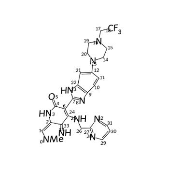 CN/C=C1/NC(=O)C(c2nc3ccc(N4CCN(CC(F)(F)F)CC4)cc3[nH]2)=C(NCc2ncccn2)C1=N